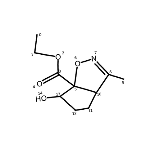 CCOC(=O)C12ON=C(C)C1CCC2O